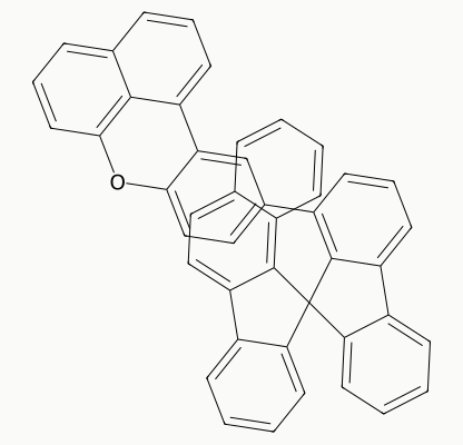 c1ccc2c(c1)-c1cccc(-c3ccc4c(c3)-c3cccc5cccc(c35)O4)c1C21c2ccccc2-c2ccc3ccccc3c21